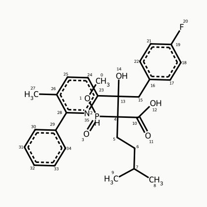 CO[PH](=O)C(CCC(C)C)(C(=O)O)C(O)(Cc1ccc(F)cc1)c1ccc(C)c(-c2ccccc2)n1